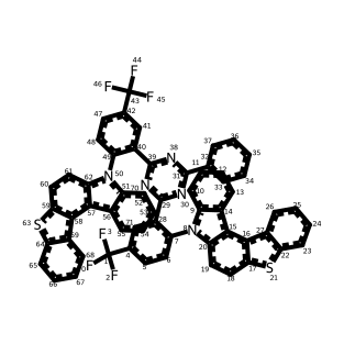 FC(F)(F)c1ccc(-n2c3ccccc3c3c4c(ccc32)sc2ccccc24)c(-c2nc(-c3ccccc3)nc(-c3cc(C(F)(F)F)ccc3-n3c4ccccc4c4c5c(ccc43)sc3ccccc35)n2)c1